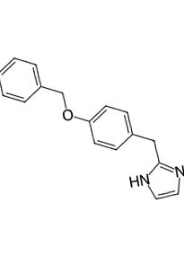 c1ccc(COc2ccc(Cc3ncc[nH]3)cc2)cc1